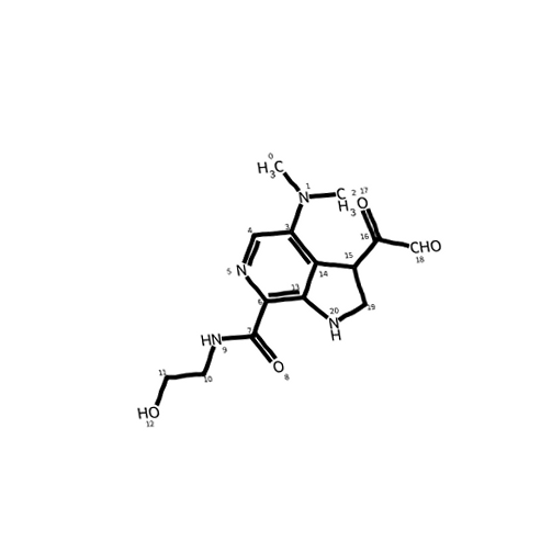 CN(C)c1cnc(C(=O)NCCO)c2c1C(C(=O)C=O)CN2